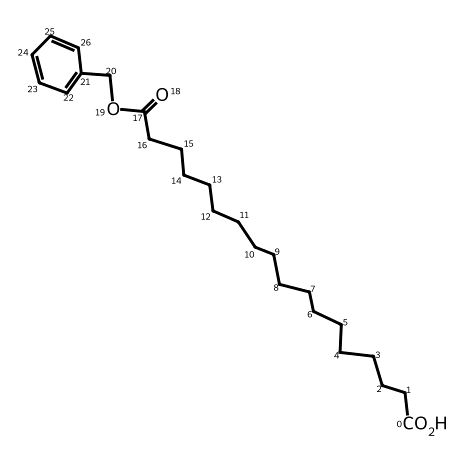 O=C(O)CCCCCCCCCCCCCCCCC(=O)OCc1ccccc1